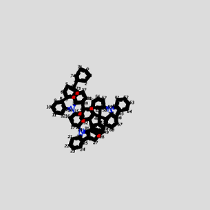 c1ccc(-c2ccc(-c3ccccc3N(c3ccc(-n4c5ccccc5c5ccccc54)cc3)c3ccccc3-c3ccc4c(c3)C3(c5ccccc5-4)c4ccccc4-n4c5ccccc5c5cccc3c54)cc2)cc1